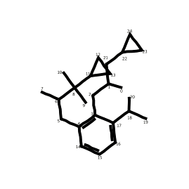 CC(Cc1c(CC(C)C(C)(C)C2CC2)cccc1C(C)C)CC1CC1